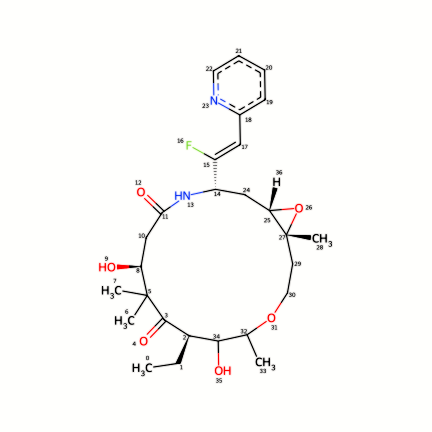 CC[C@H]1C(=O)C(C)(C)[C@@H](O)CC(=O)N[C@H](C(F)=Cc2ccccn2)C[C@@H]2O[C@]2(C)CCOC(C)C1O